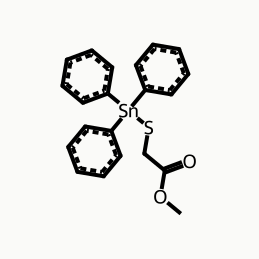 COC(=O)C[S][Sn]([c]1ccccc1)([c]1ccccc1)[c]1ccccc1